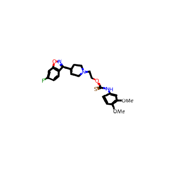 COc1ccc(NC(=S)OCCN2CCC(c3noc4cc(F)ccc34)CC2)cc1OC